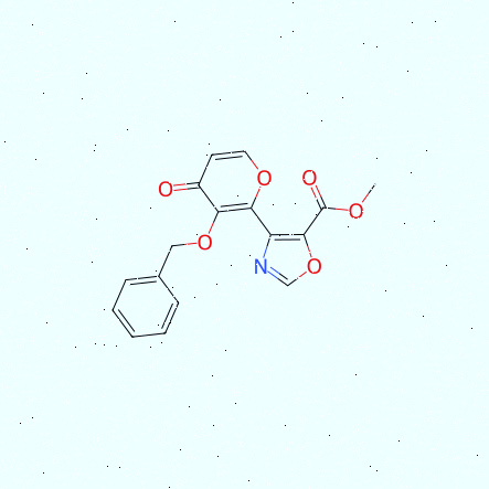 COC(=O)c1ocnc1-c1occc(=O)c1OCc1ccccc1